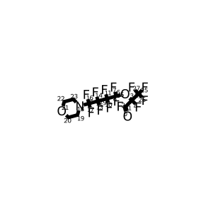 O=C(F)C(F)(OC(F)(F)C(F)(F)C(F)(F)C(F)(F)N1CCOCC1)C(F)(F)F